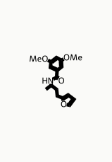 COc1cc(OC)cc(C(=O)NC(C)CCc2ccco2)c1